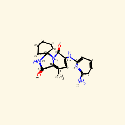 Cc1cc(NC2=CC=CCC(N)=N2)c(=O)n2c1C(=O)NC21CCCCC1